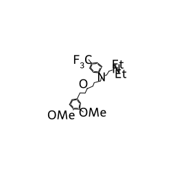 CCN(CC)CCN(CCCC(=O)CCc1ccc(OC)c(OC)c1)c1ccc(C(F)(F)F)cc1